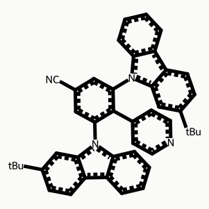 CC(C)(C)c1ccc2c3ccccc3n(-c3cc(C#N)cc(-n4c5ccccc5c5ccc(C(C)(C)C)cc54)c3-c3ccncc3)c2c1